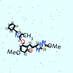 COc1cc(OCc2nc(-c3ccccc3)sc2C)c2cc(-c3cn4nc(OC)sc4n3)oc2c1